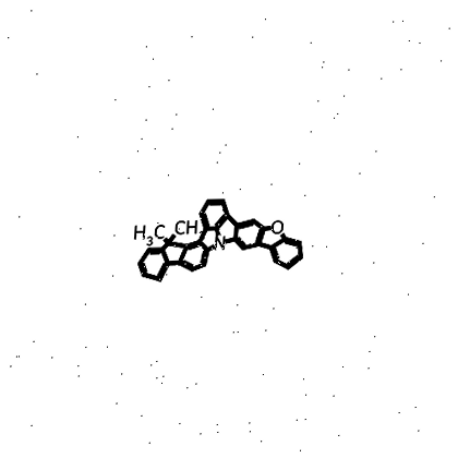 CC1(C)c2ccccc2-c2ccc3c(c21)c1cccc2c4cc5oc6ccccc6c5cc4n3c21